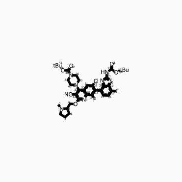 CN1CCCC1COc1nc2c(F)c(-c3ccc(F)c4sc(NC(=O)OC(C)(C)C)nc34)c(Cl)cc2c(N2CCN(C(=O)OC(C)(C)C)CC2)c1C#N